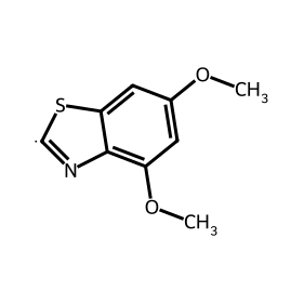 COc1cc(OC)c2n[c]sc2c1